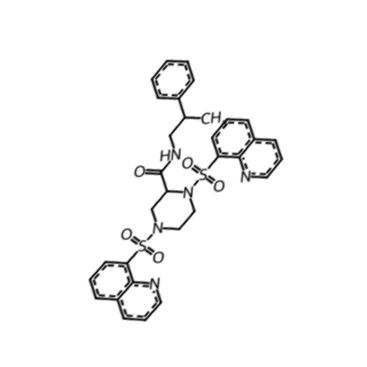 CC(CNC(=O)C1CN(S(=O)(=O)c2cccc3cccnc23)CCN1S(=O)(=O)c1cccc2cccnc12)c1ccccc1